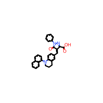 O=C(O)C1=NN(c2ccccc2)C(=O)/C1=C\c1ccc2c(c1)CCCN2c1cccc2ccccc12